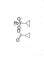 O=C([O-])C1CC1.O=C([O-])C1CC1.[Pb+2]